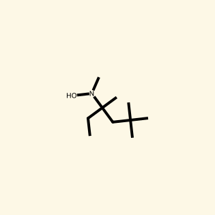 CCC(C)(CC(C)(C)C)N(C)O